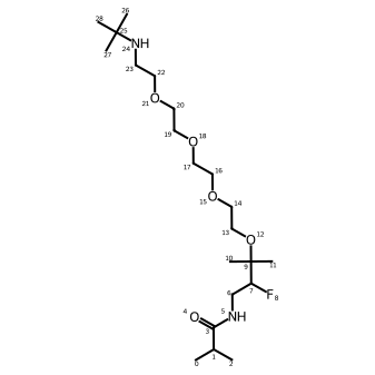 CC(C)C(=O)NCC(F)C(C)(C)OCCOCCOCCOCCNC(C)(C)C